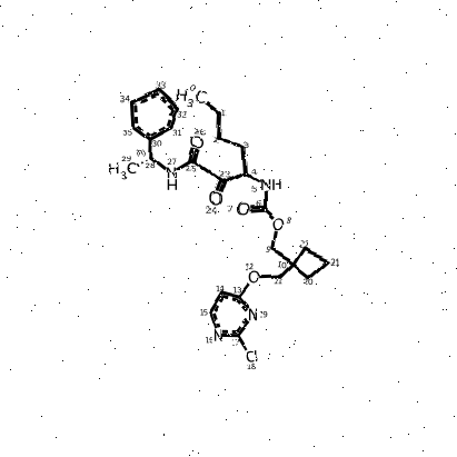 CCCCC(NC(=O)OCC1(COc2ccnc(Cl)n2)CCC1)C(=O)C(=O)N[C@H](C)c1ccccc1